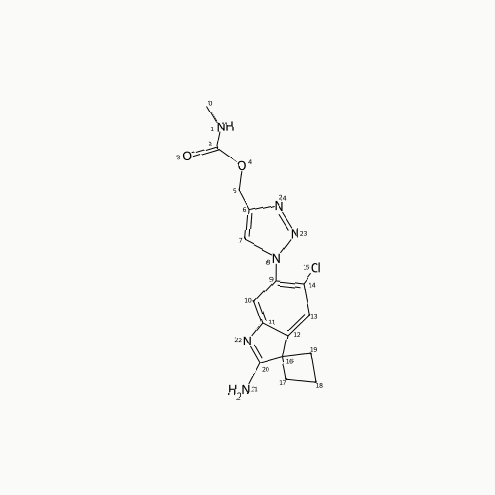 CNC(=O)OCc1cn(-c2cc3c(cc2Cl)C2(CCC2)C(N)=N3)nn1